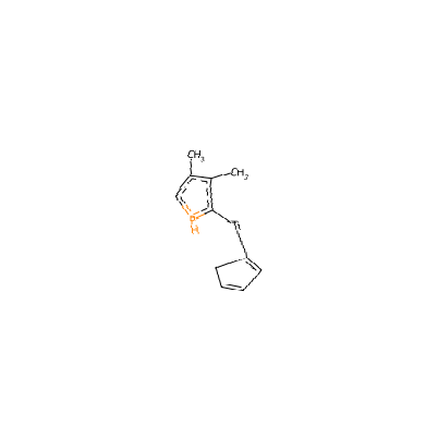 Cc1c[pH][c]([Ti][C]2=CC=CC2)c1C